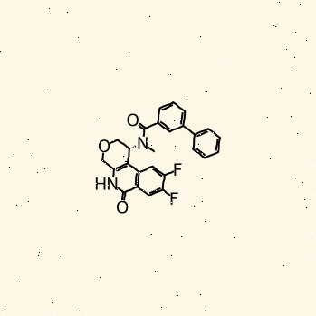 CN(C(=O)c1cccc(-c2ccccc2)c1)[C@H]1COCc2[nH]c(=O)c3cc(F)c(F)cc3c21